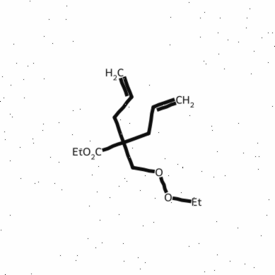 C=CCC(CC=C)(COOCC)C(=O)OCC